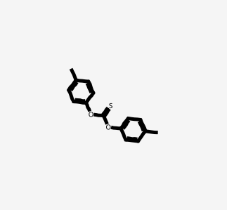 Cc1ccc(OC(=S)Oc2ccc(C)cc2)cc1